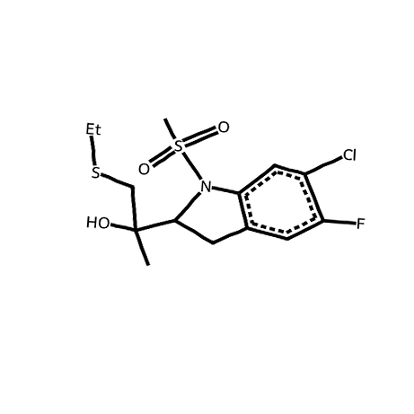 CCSCC(C)(O)C1Cc2cc(F)c(Cl)cc2N1S(C)(=O)=O